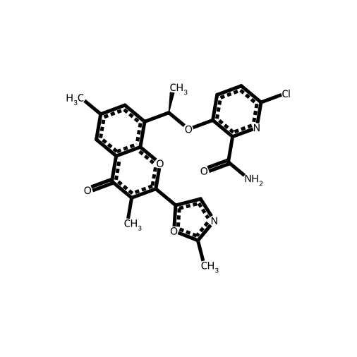 Cc1cc([C@@H](C)Oc2ccc(Cl)nc2C(N)=O)c2oc(-c3cnc(C)o3)c(C)c(=O)c2c1